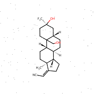 C[C@]12CC[C@H]3[C@@H](CC[C@H]4C[C@@](O)(C(F)(F)F)CCC43CO)[C@@H]1CC/C2=C/C#N